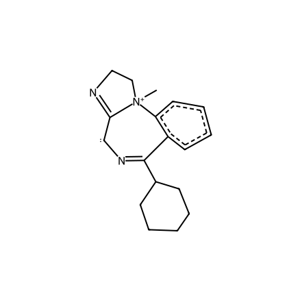 C[N+]12CCN=C1[C]N=C(C1CCCCC1)c1ccccc12